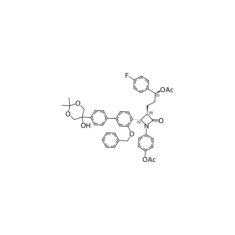 CC(=O)Oc1ccc(N2C(=O)[C@H](CC[C@H](OC(C)=O)c3ccc(F)cc3)[C@H]2c2ccc(-c3ccc(C4(O)COC(C)(C)OC4)cc3)cc2OCc2ccccc2)cc1